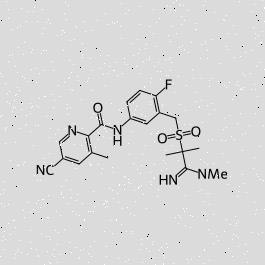 CNC(=N)C(C)(C)S(=O)(=O)Cc1cc(NC(=O)c2ncc(C#N)cc2C)ccc1F